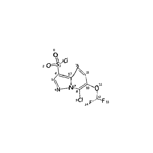 O=S(=O)(Cl)c1cnn2c(Cl)c(OC(F)F)ccc12